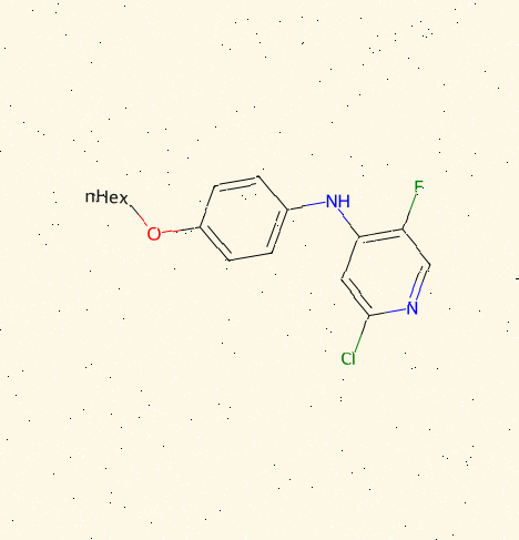 CCCCCCOc1ccc(Nc2cc(Cl)ncc2F)cc1